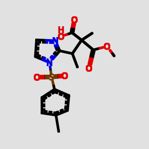 COC(=O)C(C)(C(=O)O)C(C)c1nccn1S(=O)(=O)c1ccc(C)cc1